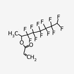 C=CC(=O)OC(C)C(F)(F)C(F)(F)C(F)(F)C(F)(F)C(F)(F)C(F)F